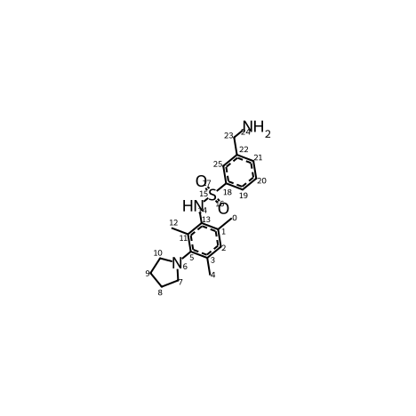 Cc1cc(C)c(N2CCCC2)c(C)c1NS(=O)(=O)c1cccc(CN)c1